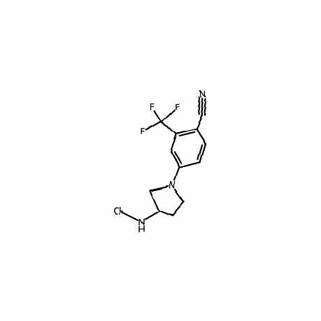 N#Cc1ccc(N2CCC(NCl)C2)cc1C(F)(F)F